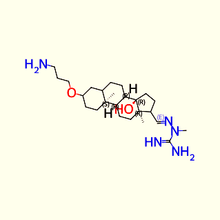 CN(/N=C/C1CC[C@@]2(O)[C@@H]3CCC4CC(OCCCN)CC[C@]4(C)[C@@H]3CC[C@]12C)C(=N)N